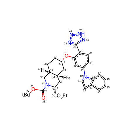 CCOC(=O)[C@@H]1C[C@H]2C[C@@H](Oc3cc(-n4ccc5ccccc54)ccc3-c3nn[nH]n3)CC[C@H]2CN1C(=O)OC(C)(C)C